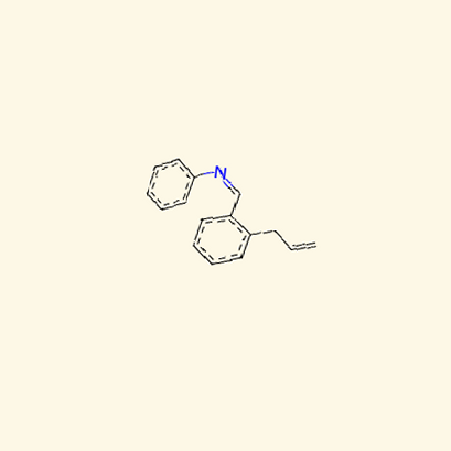 C=CCc1ccccc1/C=N\c1ccccc1